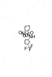 O=[N+]([O-])c1ccccc1S(=O)(=O)Nc1cccc(C(F)(F)F)c1